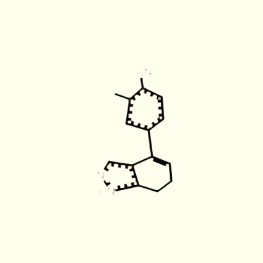 N#Cc1ccc(C2=CCCc3[nH]ncc32)cc1F